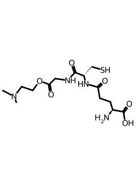 CN(C)CCOC(=O)CNC(=O)[C@H](CS)NC(=O)CC[C@H](N)C(=O)O